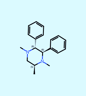 C[C@H]1CN(C)[C@H](c2ccccc2)[C@@H](c2ccccc2)N1C